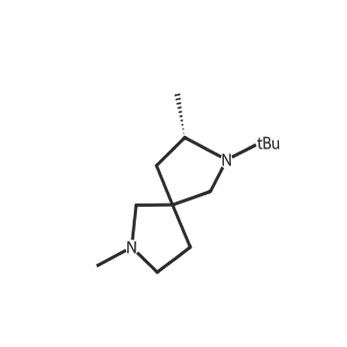 C[C@H]1CC2(CCN(C)C2)CN1C(C)(C)C